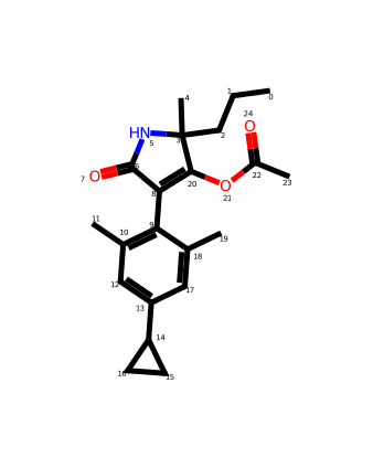 CCCC1(C)NC(=O)C(c2c(C)cc(C3CC3)cc2C)=C1OC(C)=O